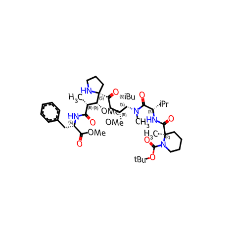 CC[C@H](C)[C@@H]([C@@H](CC(=O)[C@@]1([C@H](OC)[C@@H](C)C(=O)N[C@@H](Cc2ccccc2)C(=O)OC)CCCN1)OC)N(C)C(=O)[C@@H](NC(=O)[C@@]1(C)CCCCN1C(=O)OC(C)(C)C)C(C)C